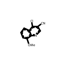 COc1cccc2c(Cl)c(C#N)cnc12